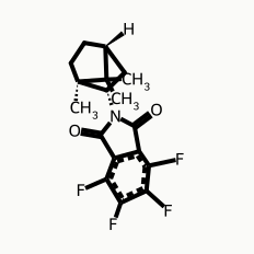 CC1(C)[C@@H]2CC[C@]1(C)[C@@H](N1C(=O)c3c(F)c(F)c(F)c(F)c3C1=O)C2